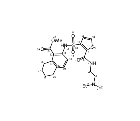 CCN(CC)CCNC(=O)c1sccc1S(=O)(=O)Nc1ccc2c(c1C(=O)OC)CCCC2